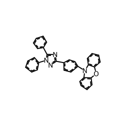 c1ccc(-c2nc(-c3ccc(N4c5ccccc5Oc5ccccc54)cc3)nn2-c2ccccc2)cc1